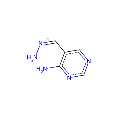 N/N=C\c1cncnc1N